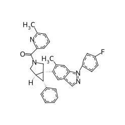 Cc1cccc(C(=O)N2C[C@@H]3[C@@H](c4ccccc4)[C@]3(c3cc4cnn(-c5ccc(F)cc5)c4cc3C)C2)n1